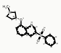 CN1CC[C@@H](Oc2cccc3cc(S(=O)(=O)c4ccccc4)cnc23)C1